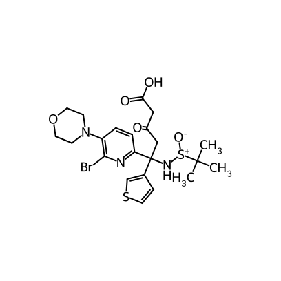 CC(C)(C)[S+]([O-])NC(CC(=O)CC(=O)O)(c1ccsc1)c1ccc(N2CCOCC2)c(Br)n1